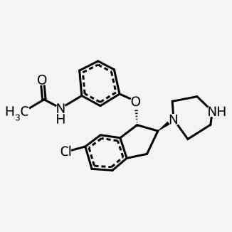 CC(=O)Nc1cccc(O[C@H]2c3cc(Cl)ccc3C[C@@H]2N2CCNCC2)c1